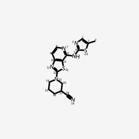 Cc1cnc(Nc2nccc3nc(N4CCCC(C#N)C4)sc23)s1